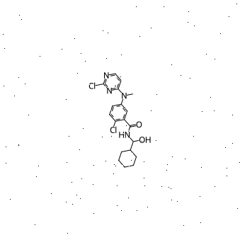 CN(c1ccc(Cl)c(C(=O)NC(O)C2CCCCC2)c1)c1ccnc(Cl)n1